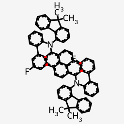 CC1(C)c2ccccc2-c2c(N(c3ccccc3-c3cccc(F)c3)c3ccc4ccc5c(N(c6ccccc6-c6cccc(F)c6)c6cccc7c6-c6ccccc6C7(C)C)ccc6ccc3c4c65)cccc21